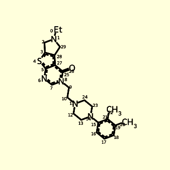 CCN1Cc2sc3ncn(CCN4CCN(c5cccc(C)c5C)CC4)c(=O)c3c2C1